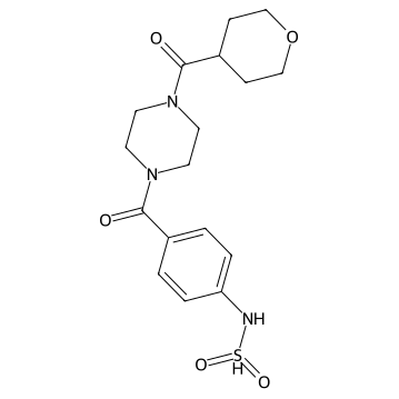 O=C(c1ccc(N[SH](=O)=O)cc1)N1CCN(C(=O)C2CCOCC2)CC1